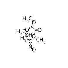 CO.COC(=O)C(=O)OC.CON=O